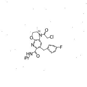 CC(C)NC(=O)c1nc2c(cc1Cc1ccc(F)cc1)N(C(=O)CCl)[C@@H](C)CO2